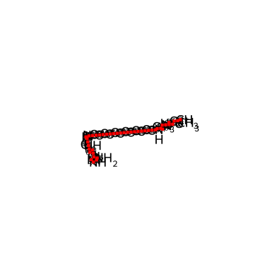 C[N+](C)(C)CCOc1ccc(N=Nc2ccc(NC(=O)CCOCCOCCOCCOCCOCCOCCOCCOCCOCCOCCOCCOCCn3cc(CCC(=O)NCc4ccc(COc5nc(N)nc6[nH]cnc56)cc4)nn3)cc2)cc1